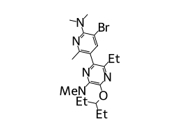 CCc1nc(OC(CC)CC)c(NC)nc1-c1cc(Br)c(N(C)C)nc1C